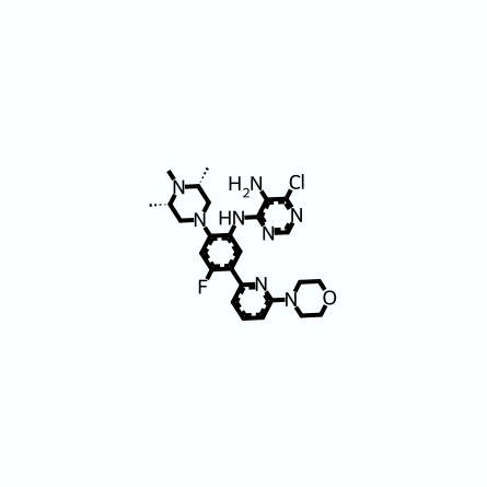 C[C@@H]1CN(c2cc(F)c(-c3cccc(N4CCOCC4)n3)cc2Nc2ncnc(Cl)c2N)C[C@H](C)N1C